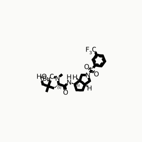 CN(C(=O)O)[C@@H](CC(C)(C)CC(C)(C)C)C(=O)N[C@H]1CC[C@@H]2CN(S(=O)(=O)c3cccc(C(F)(F)F)c3)C[C@@H]21